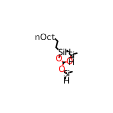 CCCCCCCCCC[SiH2]OC(O[SiH](C)C)O[SiH](C)C